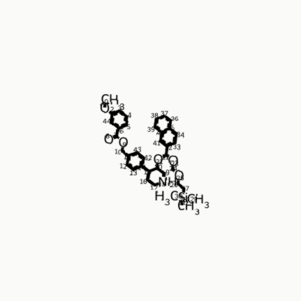 COc1cccc(C(=O)OCc2ccc(C3CCNCC3OC(OCOCC[Si](C)(C)C)c3ccc4ccccc4c3)cc2)c1